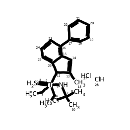 C[CH2][Ti](=[SiH2])([CH2]C)([NH]C(C)(C)C)[CH]1C(C)=Cc2c(-c3ccccc3)cccc21.Cl.Cl